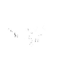 [N-]=[N+]=NCCn1c(=O)[nH]c2ccccc2c1=O